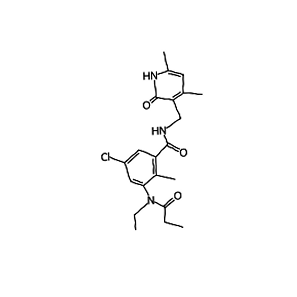 CCC(=O)N(CC)c1cc(Cl)cc(C(=O)NCc2c(C)cc(C)[nH]c2=O)c1C